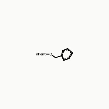 [CH2]CCCCOCc1ccccc1